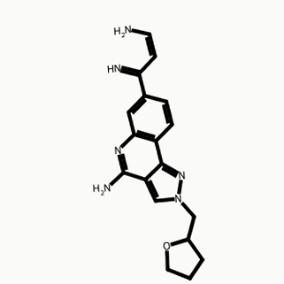 N=C(/C=C\N)c1ccc2c(c1)nc(N)c1cn(CC3CCCO3)nc12